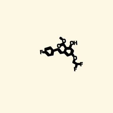 COC(=O)c1c(O)cc(OCC(F)F)cc1C=Cc1ccc(F)cc1